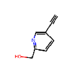 C#Cc1ccc(CO)nc1